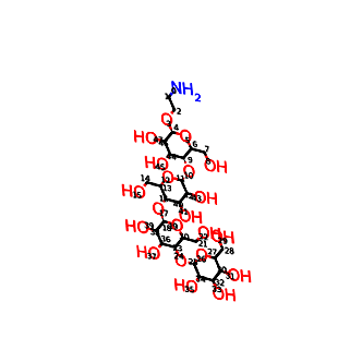 NCCO[C@H]1OC(CO)[C@H](O[C@H]2OC(CO)[C@@H](O[C@@H]3OC(CO)[C@@H](O[C@@H]4OC(CO)[C@@H](O)C(O)C4O)C(O)C3O)C(O)C2O)C(O)C1O